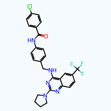 O=C(Nc1ccc(CNc2nc(N3CCCC3)nc3ccc(C(F)(F)F)cc23)cc1)c1ccc(Cl)cc1